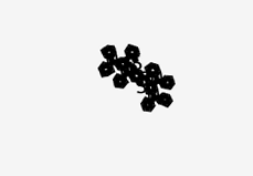 c1ccc(N(c2ccccc2)c2cc3c4c(c2)N(c2ccccc2)c2ccccc2B4c2cc4c(cc2S3)N(c2ccccc2)c2cc(N(c3ccccc3)c3ccccc3)cc3c2B4Sc2ccccc2-3)cc1